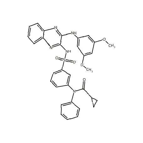 COc1cc(Nc2nc3ccccc3nc2NS(=O)(=O)c2cccc(N(C(=O)C3CC3)c3ccccc3)c2)cc(OC)c1